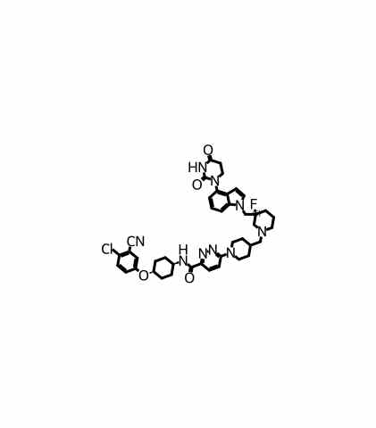 N#Cc1cc(O[C@H]2CC[C@H](NC(=O)c3ccc(N4CCC(CN5CCC[C@@](F)(Cn6ccc7c(N8CCC(=O)NC8=O)cccc76)C5)CC4)nn3)CC2)ccc1Cl